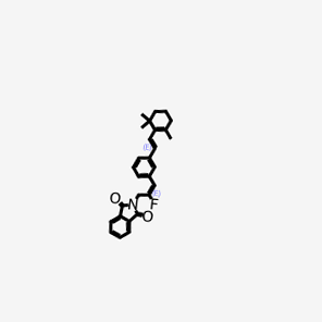 CC1=C(/C=C/c2cccc(/C=C(/F)CN3C(=O)c4ccccc4C3=O)c2)C(C)(C)CCC1